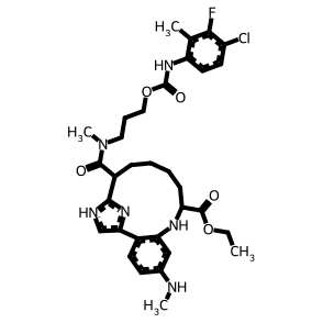 CCOC(=O)C1CCCCC(C(=O)N(C)CCCOC(=O)Nc2ccc(Cl)c(F)c2C)c2nc(c[nH]2)-c2ccc(NC)cc2N1